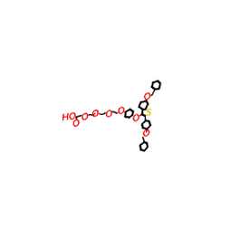 O=C(O)COCCOCCOCCOc1ccc(Oc2c(-c3ccc(OCc4ccccc4)cc3)sc3cc(OCc4ccccc4)ccc23)cc1